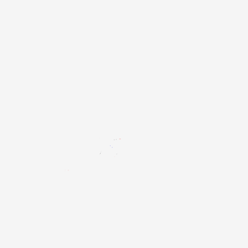 CCCCCCCCCCCC(=O)N(C(=O)CCCCCCCCCCC)[C@@H](CSCC(O)CO)C(=O)O